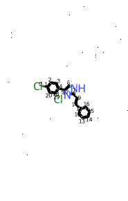 Clc1ccc(-c2c[nH]c(C=Cc3ccccc3)n2)c(Cl)c1